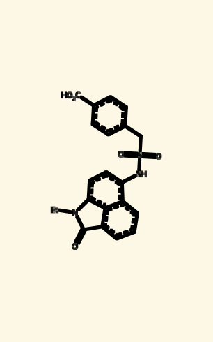 CCN1C(=O)c2cccc3c(NS(=O)(=O)Cc4ccc(C(=O)O)cc4)ccc1c23